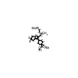 CCOCC1(COCC)CCC(c2c(CN(C)CCNC)nn3c2CC(F)(F)C3)CC1